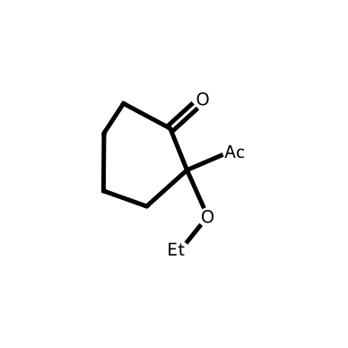 CCOC1(C(C)=O)CCCCC1=O